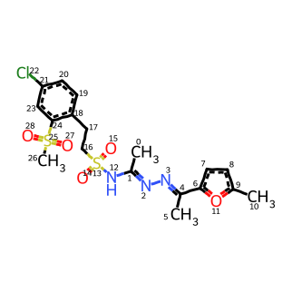 C/C(=N\N=C(/C)c1ccc(C)o1)NS(=O)(=O)CCc1ccc(Cl)cc1S(C)(=O)=O